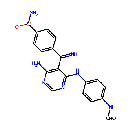 N=C(c1ccc([S+](N)[O-])cc1)c1c(N)ncnc1Nc1ccc(NC=O)cc1